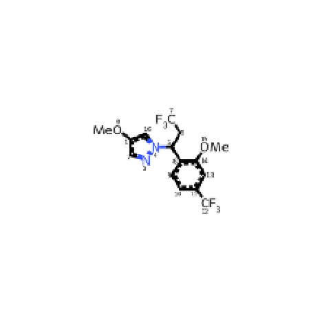 COc1cnn(C(CC(F)(F)F)c2ccc(C(F)(F)F)cc2OC)c1